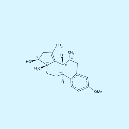 COc1ccc2c(c1)C[C@@H](C)[C@H]1C3=C(C)C[C@H](O)[C@@]3(C)CC[C@H]21